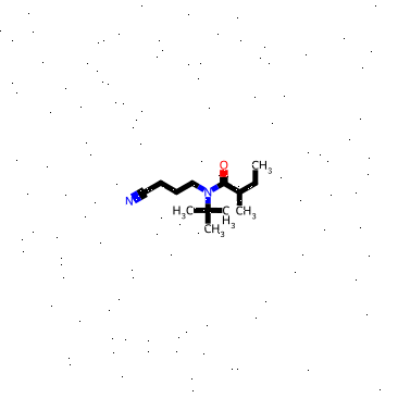 CCC(C)C(=O)N(CCCC#N)C(C)(C)C